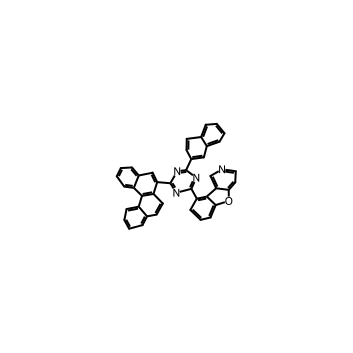 c1ccc2cc(-c3nc(-c4cc5ccccc5c5c4ccc4ccccc45)nc(-c4cccc5oc6ccncc6c45)n3)ccc2c1